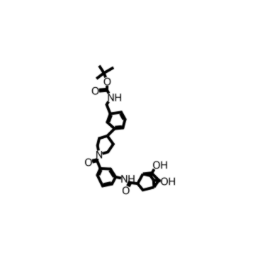 CC(C)(C)OC(=O)NCc1cccc(C2CCN(C(=O)c3cccc(NC(=O)C4CC5CCC4C(O)C5O)c3)CC2)c1